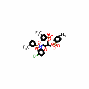 Cc1ccc(S(=O)(=O)OCC(COS(=O)(=O)c2cccc(C(F)(F)F)c2)C2CN(S(=O)(=O)c3cccc(C(F)(F)F)c3)c3cc(Br)ccc3O2)cc1